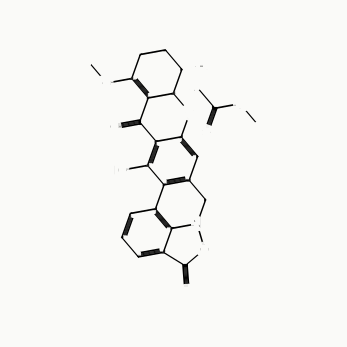 COC(=O)C[C@]12Oc3cc4c(c(O)c3C(=O)C1=C(OC)CC[C@@H]2O)-c1cccc2c(=O)on(c12)C4